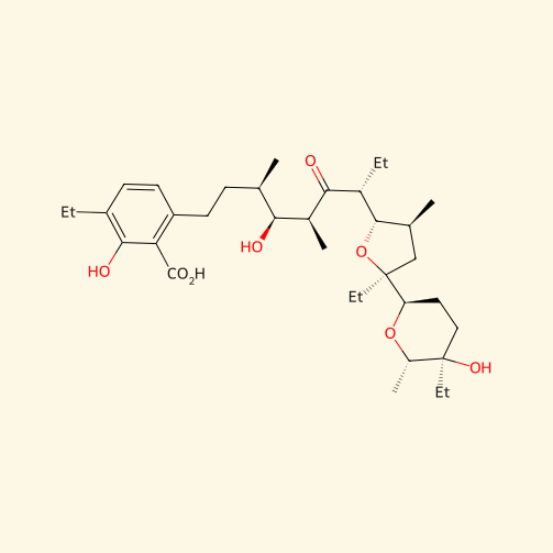 CCc1ccc(CC[C@@H](C)[C@H](O)[C@H](C)C(=O)[C@H](CC)[C@H]2O[C@](CC)([C@H]3CC[C@](O)(CC)[C@H](C)O3)C[C@@H]2C)c(C(=O)O)c1O